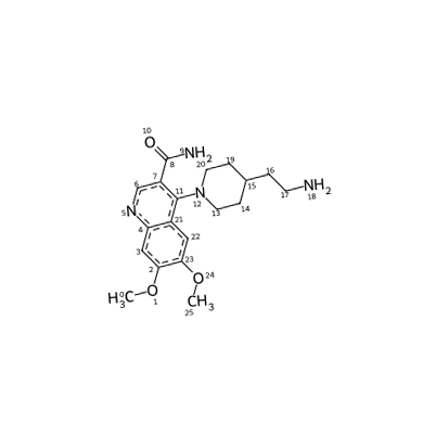 COc1cc2ncc(C(N)=O)c(N3CCC(CCN)CC3)c2cc1OC